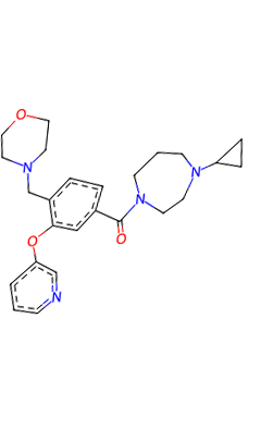 O=C(c1ccc(CN2CCOCC2)c(Oc2cccnc2)c1)N1CCCN(C2CC2)CC1